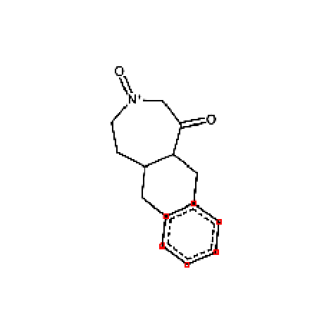 O=C1C[N+](=O)CCC2C3c4ccccc4C(c4ccccc43)C12